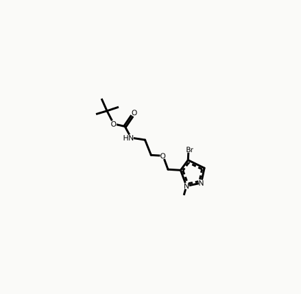 Cn1ncc(Br)c1COCCNC(=O)OC(C)(C)C